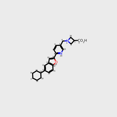 O=C(O)C1CN(Cc2ccc(-c3cc4cc(C5CCCCC5)ccc4o3)nc2)C1